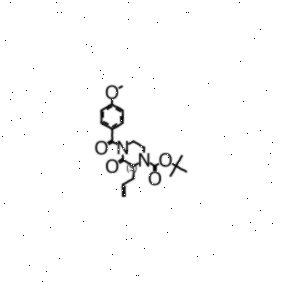 C=CC[C@H]1C(=O)N(C(=O)c2ccc(OC)cc2)CCN1C(=O)OC(C)(C)C